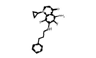 Nc1c(F)c(NCCCc2ccccc2)c(F)c2c1c(=O)ccn2C1CC1